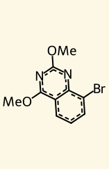 COc1nc(OC)c2cccc(Br)c2n1